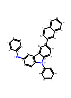 c1ccc(Nc2ccc3c(c2)c2cc(-c4ccc5ccccc5c4)ccc2n3-c2ccccc2)cc1